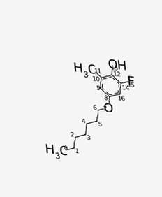 CCCCCCCOc1cc(C)c(O)c(F)c1